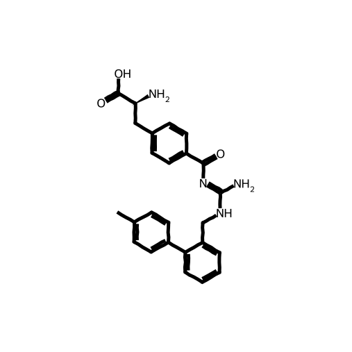 Cc1ccc(-c2ccccc2CNC(N)=NC(=O)c2ccc(C[C@H](N)C(=O)O)cc2)cc1